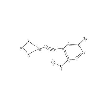 CCc1ccc(SC(F)(F)F)c(C#CC2CCC2)c1